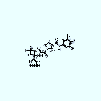 C[C@H]1[C@@H](C(=O)Nc2cc(F)c(F)c(F)c2)CCN1C(=O)C(=O)NC1(c2c[nH]nn2)CC(F)(F)C1